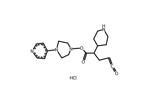 Cl.O=C=CCC(C(=O)ON1CCN(c2ccncc2)CC1)C1CCNCC1